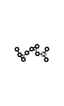 c1ccc(-c2ccc3c4ccccc4n(-c4ccc(-c5ccc6c7ccccc7n(-c7cccc(-c8nc(-c9ccccc9)nc(-c9ccccc9)n8)c7)c6c5)cc4)c3c2)cc1